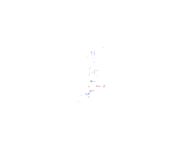 Cc1c(OCCN2CCCCC2)bcc2c(=O)cc(N3CCOCC3)oc12